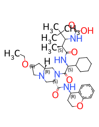 CCO[C@@H]1C[C@@H]2CN(C(=O)[C@@H](NC(=O)[C@@H](C)C(NC(=O)O)C(C)(C)C)C3CCCCC3)[C@H](C(=O)N[C@@H]3CCOc4ccccc43)CN2C1